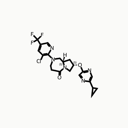 O=C1CCN(c2ncc(C(F)(F)F)cc2Cl)C[C@@H]2C[C@H](Oc3cnc(C4CC4)cn3)CN12